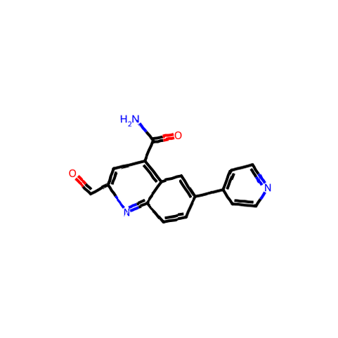 NC(=O)c1cc(C=O)nc2ccc(-c3ccncc3)cc12